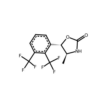 C[C@@H]1NC(=O)O[C@H]1c1cccc(C(F)(F)F)c1C(F)(F)F